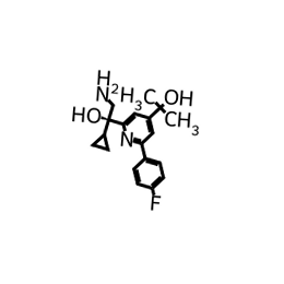 CC(C)(O)c1cc(-c2ccc(F)cc2)nc([C@@](O)(CN)C2CC2)c1